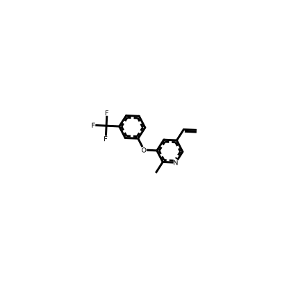 C=Cc1cnc(C)c(Oc2cccc(C(F)(F)F)c2)c1